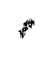 COc1ncnc(C2CC2)c1-c1ncc2cnn(C3CCc4cc(-c5nc(C(F)(F)F)cn5C(C)C)ccc43)c2n1